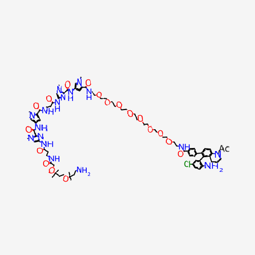 CC(=O)N1CCCc2c1ccc(-c1ccc(C(=O)NCCOCCOCCOCCOCCOCCOCCOCCOCCNC(=O)c3cc(NC(=O)c4nc(NC(=O)CCNC(=O)c5cc(NC(=O)c6nc(NC(=O)CCNC(=O)COC(C)(C)CCOC(C)(C)CCN)cn6C)cn5C)cn4C)cn3C)cc1)c2-c1cc(Cl)ccc1N